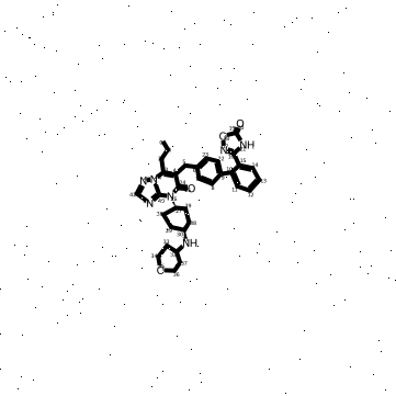 CCCc1c(Cc2ccc(-c3ccccc3-c3noc(=O)[nH]3)cc2)c(=O)n([C@H]2CC[C@H](NC3CCOCC3)CC2)c2ncnn12